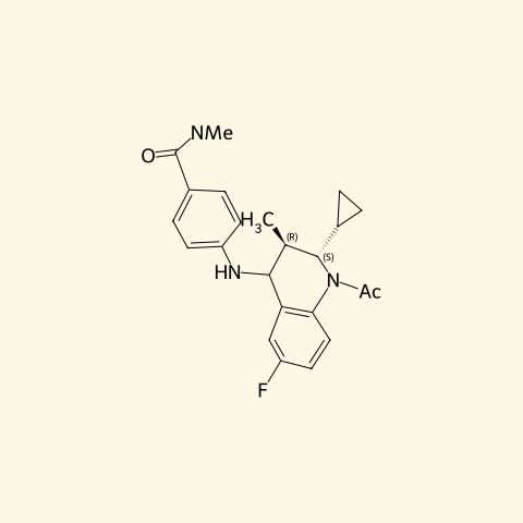 CNC(=O)c1ccc(NC2c3cc(F)ccc3N(C(C)=O)[C@@H](C3CC3)[C@@H]2C)cc1